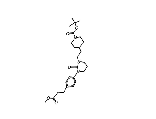 COC(=O)CCc1ccc(N2CCCN(CCC3CCN(C(=O)OC(C)(C)C)CC3)C2=O)cc1